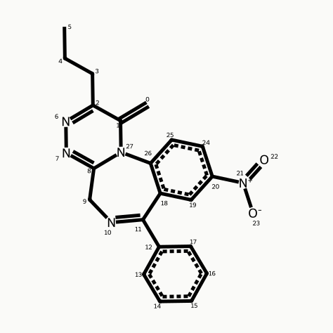 C=C1C(CCC)=NN=C2CN=C(c3ccccc3)c3cc([N+](=O)[O-])ccc3N12